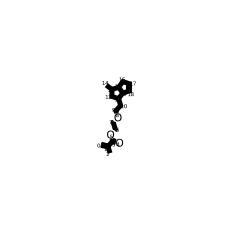 C=C(C)C(=O)OCCOCCC1CC(C)C2CC=CC12